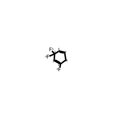 FC1=CC(F)(F)C=C[CH]1